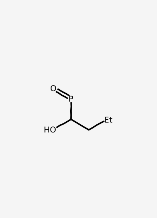 CCCC(O)P=O